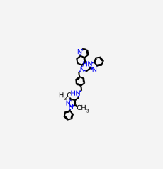 Cc1nn(-c2ccccc2)c(C)c1CNCc1ccc(CN(Cc2nc3ccccc3[nH]2)C2C=C3C=CC=NC3CC2)cc1